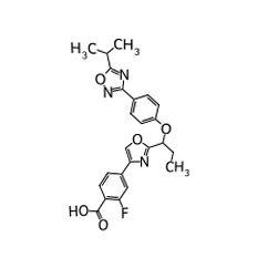 CCC(Oc1ccc(-c2noc(C(C)C)n2)cc1)c1nc(-c2ccc(C(=O)O)c(F)c2)co1